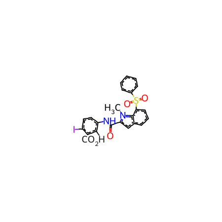 Cn1c(C(=O)Nc2ccc(I)cc2C(=O)O)cc2cccc(S(=O)(=O)c3ccccc3)c21